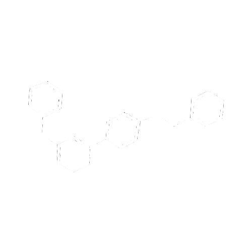 [CH]1CC=C(Oc2ccccc2)C=C1c1ccc(OCc2ccccc2)cc1